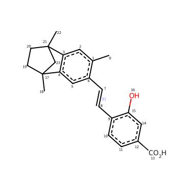 Cc1cc2c(cc1/C=C/c1ccc(C(=O)O)cc1O)C1(C)CCC2(C)C1